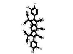 N#CC(C#N)=C1C(c2ccc(F)c(F)c2)=C(C#N)c2c1cc1c(c2C#N)C(C#N)=C(c2ccc(F)c(F)c2)C1=C(C#N)C#N